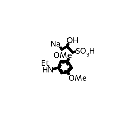 CCNc1cc(OC)cc(OC)c1.O=S(=O)(O)CC(O)[CH2][Na]